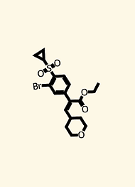 CCOC(=O)C(=CC1CCOCC1)c1ccc(S(=O)(=O)C2CC2)c(Br)c1